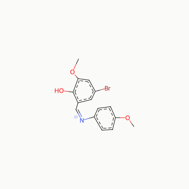 COc1ccc(/N=C\c2cc(Br)cc(OC)c2O)cc1